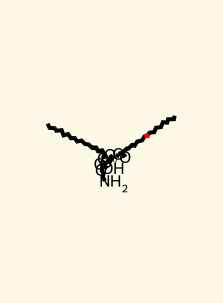 CCCCCCCCCCCCCC=CC=CC(=O)OC[C@H](COP(=O)(O)OCCN)OC(=O)C=CC=CCCCCCCCCCCCCC